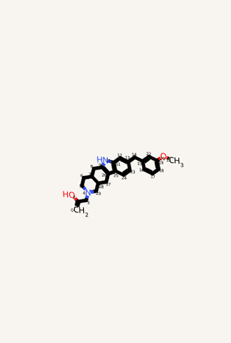 C=C(O)CN1CCC2Cc3[nH]c4cc(Cc5cccc(OC)c5)ccc4c3CC2C1